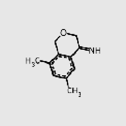 Cc1cc(C)c2c(c1)C(=N)COC2